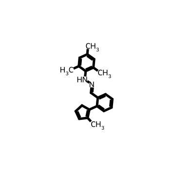 CC1=C(c2ccccc2C=NNc2c(C)cc(C)cc2C)CC=C1